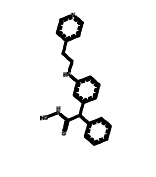 O=C(NO)C(c1ccccc1)c1cccc(NCCc2ccncc2)c1